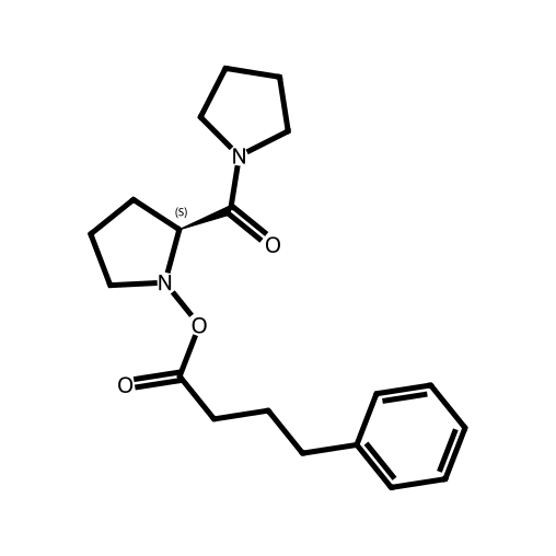 O=C(CCCc1ccccc1)ON1CCC[C@H]1C(=O)N1CCCC1